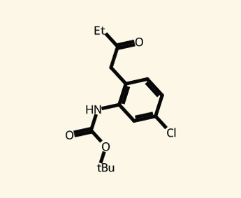 CCC(=O)Cc1ccc(Cl)cc1NC(=O)OC(C)(C)C